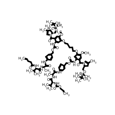 C=CCCC(=O)N[C@H](C(=O)N[C@@H](C)C(=O)Nc1ccc(COC(=O)Nc2cc(OCCCCCOc3cc(NC(=O)OCc4ccc(NC(=O)[C@H](C)NC(=O)[C@@H](NC(=O)OCC=C)C(C)C)cc4)c(C(=O)N4C=C(C)CC4CO[Si](C)(C)C(C)(C)C)cc3OC)c(OC)cc2C(=O)N2C=C(C)C[C@H]2CO[Si](C)(C)C(C)(C)C)cc1)C(C)C